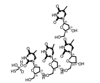 Cc1cn([C@H]2C[C@H](O)[C@@H](CO)O2)c(=O)[nH]c1=O.Cc1cn([C@H]2C[C@H](O)[C@@H](CO)O2)c(=O)[nH]c1=O.Cc1cn([C@H]2C[C@H](O)[C@@H](CO)O2)c(=O)[nH]c1=O.Cc1cn([C@H]2C[C@H](O)[C@@H](CO)O2)c(=O)[nH]c1=O.O=P(O)(O)S